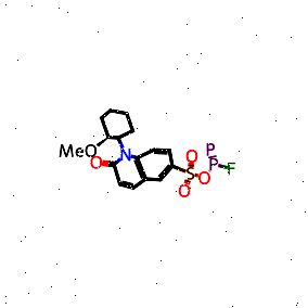 CO[C@H]1CCCCC1n1c(=O)ccc2cc(S(=O)(=O)OP(F)#P)ccc21